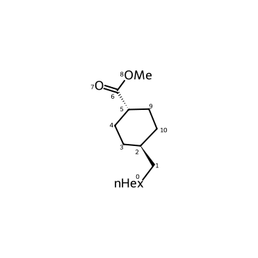 CCCCCCC[C@H]1CC[C@H](C(=O)OC)CC1